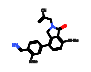 C=C(C#N)CN1Cc2c(-c3ccc(C=N)c(NC)c3)ccc(NC(C)=O)c2C1=O